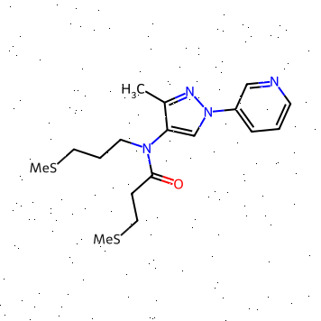 CSCCCN(C(=O)CCSC)c1cn(-c2cccnc2)nc1C